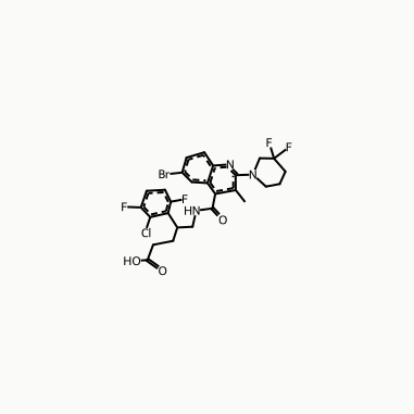 Cc1c(N2CCCC(F)(F)C2)nc2ccc(Br)cc2c1C(=O)NCC(CCC(=O)O)c1c(F)ccc(F)c1Cl